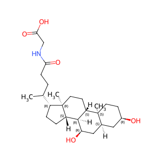 CC(CCC(=O)NCC(=O)O)[C@H]1CC[C@H]2[C@@H]3[C@H](O)C[C@@H]4C[C@H](O)CC[C@]4(C)[C@H]3CC[C@]12C